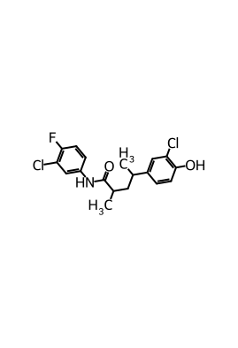 CC(CC(C)c1ccc(O)c(Cl)c1)C(=O)Nc1ccc(F)c(Cl)c1